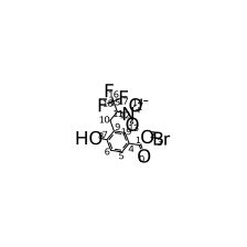 O=C(OBr)c1ccc(O)c(CC([N+](=O)[O-])C(F)(F)F)c1